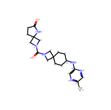 O=C1CCC2(CN(C(=O)N3CC4(CCC(Nc5cnc(C(F)(F)F)cn5)CC4)C3)C2)N1